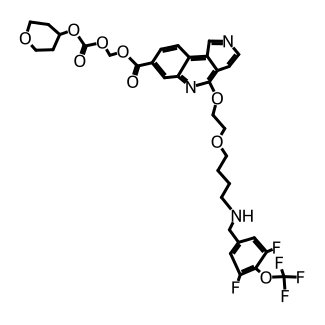 O=C(OCOC(=O)c1ccc2c(c1)nc(OCCOCCCCNCc1cc(F)c(OC(F)(F)F)c(F)c1)c1ccncc12)OC1CCOCC1